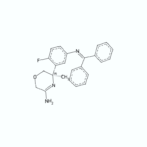 C[C@@]1(c2cc(N=C(c3ccccc3)c3ccccc3)ccc2F)COCC(N)=N1